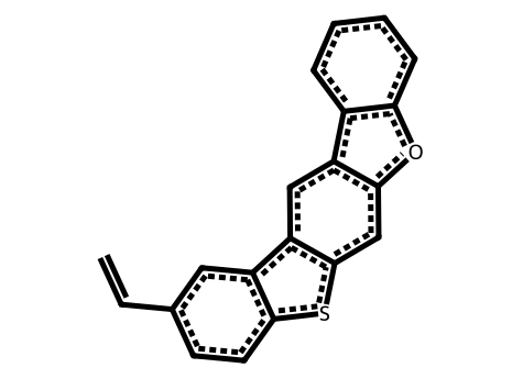 C=Cc1ccc2sc3cc4oc5ccccc5c4cc3c2c1